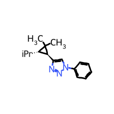 CC(C)[C@H]1[C@H](c2cn(-c3ccccc3)nn2)C1(C)C